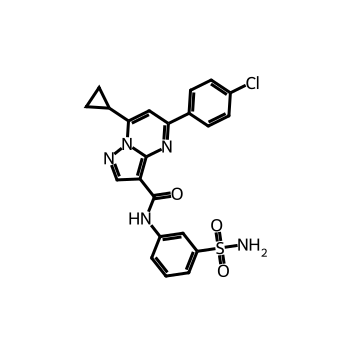 NS(=O)(=O)c1cccc(NC(=O)c2cnn3c(C4CC4)cc(-c4ccc(Cl)cc4)nc23)c1